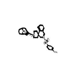 CCOC(=O)N1C2CCC1CC(N1CCC3(CC1)CN(S(=O)(=O)c1ccc(C#N)cc1)Cc1ccccc13)C2